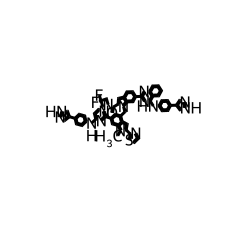 Cn1c(-c2nccs2)cc2c(Cn3c(C(=O)N4CC(F)(F)C4)cc4ccc(-c5nc(Nc6ccc(-c7cn[nH]c7)cc6)c6ccccc6n5)cc43)cc(-c3nccc(Nc4ccc(-c5cn[nH]c5)cc4)n3)cc21